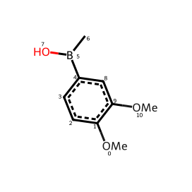 COc1ccc(B(C)O)cc1OC